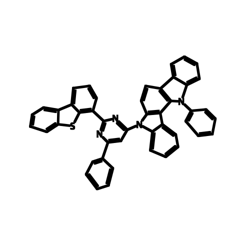 c1ccc(-c2cc(-n3c4ccccc4c4c3ccc3c5ccccc5n(-c5ccccc5)c34)nc(-c3cccc4c3sc3ccccc34)n2)cc1